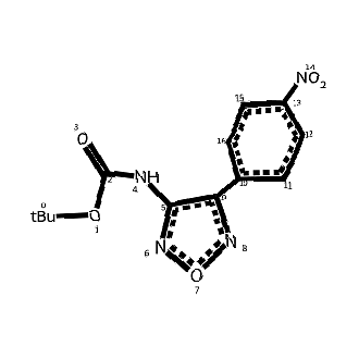 CC(C)(C)OC(=O)Nc1nonc1-c1ccc([N+](=O)[O-])cc1